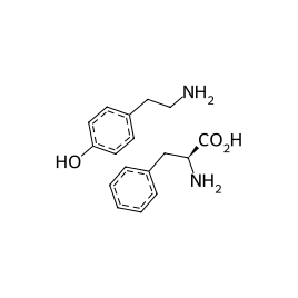 NCCc1ccc(O)cc1.N[C@@H](Cc1ccccc1)C(=O)O